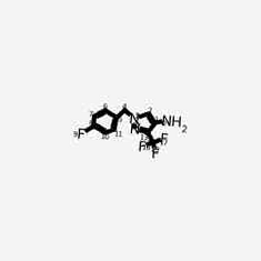 Nc1cn(Cc2ccc(F)cc2)nc1C(F)(F)F